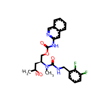 [CH2]C(O)C[C@@H](COC(=O)Nc1cc2ccccc2cn1)N(C)C(=O)NCc1cccc(F)c1F